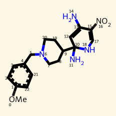 COc1ccc(CN2CCC(C3(N)C=C(N)C([N+](=O)[O-])=CN3)CC2)cc1